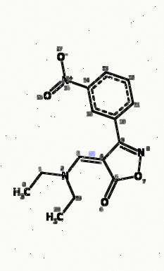 CCN(/C=C1\C(=O)ON=C1c1cccc([N+](=O)[O-])c1)CC